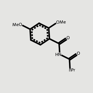 CCCC(=O)NC(=O)c1ccc(OC)cc1OC